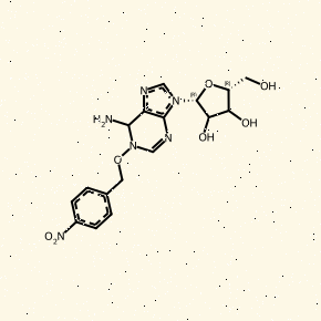 NC1c2ncn([C@@H]3O[C@H](CO)C(O)C3O)c2N=CN1OCc1ccc([N+](=O)[O-])cc1